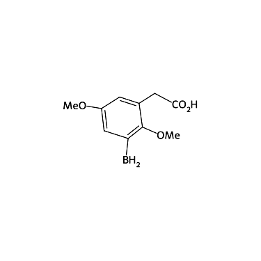 Bc1cc(OC)cc(CC(=O)O)c1OC